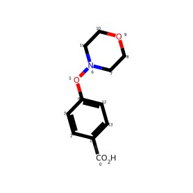 O=C(O)c1ccc(ON2CCOCC2)cc1